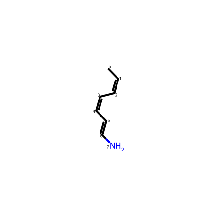 C\C=C/C=C\C=C\N